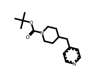 CC(C)(C)OC(=O)N1CCC(Cc2ccncc2)CC1